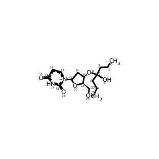 CCCC(O)(CCC)O[C@@H]1C[C@H](n2ccc(=O)[nH]c2=O)O[C@@H]1CO